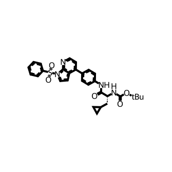 CC(C)(C)OC(=O)N[C@H](CC1CC1)C(=O)Nc1ccc(-c2ccnc3c2ccn3S(=O)(=O)c2ccccc2)cc1